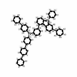 c1ccc(-c2ccc(-c3ccc(N(c4ccc(-c5ccccc5)cc4)c4cccc(-c5cccc6c5c5ccc(-c7ccccc7)cc5n6-c5ccccc5)c4)cc3)cc2)cc1